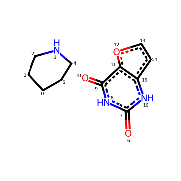 C1CCNCC1.O=c1[nH]c(=O)c2occc2[nH]1